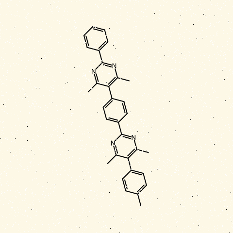 Cc1ccc(-c2c(C)nc(-c3ccc(-c4c(C)nc(-c5ccccc5)nc4C)cc3)nc2C)cc1